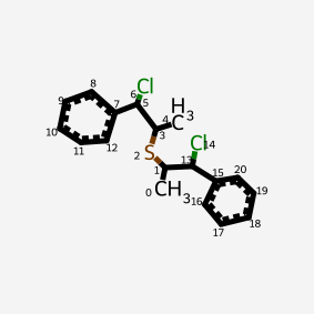 CC(SC(C)C(Cl)c1ccccc1)C(Cl)c1ccccc1